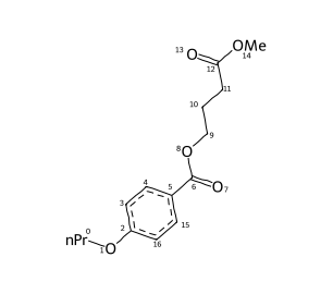 CCCOc1ccc(C(=O)OCCCC(=O)OC)cc1